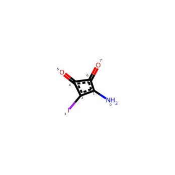 Nc1c(I)c(=O)c1=O